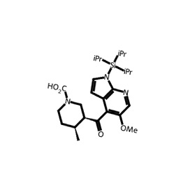 COc1cnc2c(ccn2[Si](C(C)C)(C(C)C)C(C)C)c1C(=O)[C@@H]1CN(C(=O)O)CC[C@@H]1C